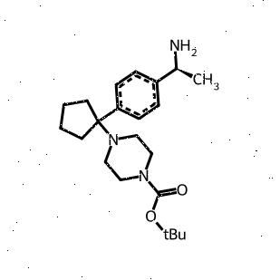 C[C@H](N)c1ccc(C2(N3CCN(C(=O)OC(C)(C)C)CC3)CCCC2)cc1